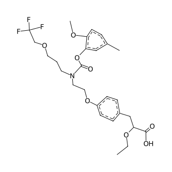 CCOC(Cc1ccc(OCCN(CCCOCC(F)(F)F)C(=O)Oc2cc(C)ccc2OC)cc1)C(=O)O